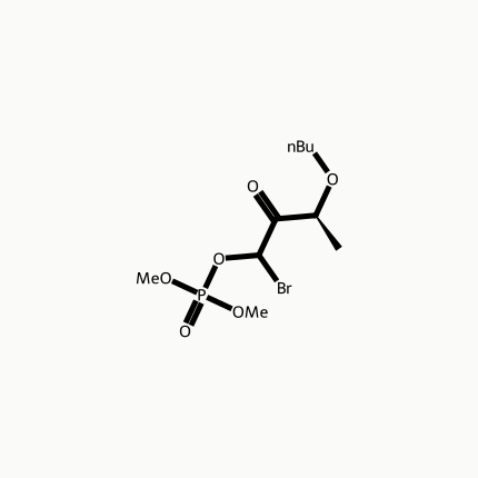 CCCCO[C@@H](C)C(=O)C(Br)OP(=O)(OC)OC